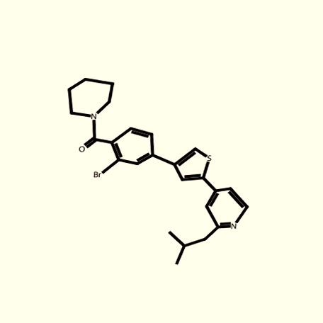 CC(C)Cc1cc(-c2cc(-c3ccc(C(=O)N4CCCCC4)c(Br)c3)cs2)ccn1